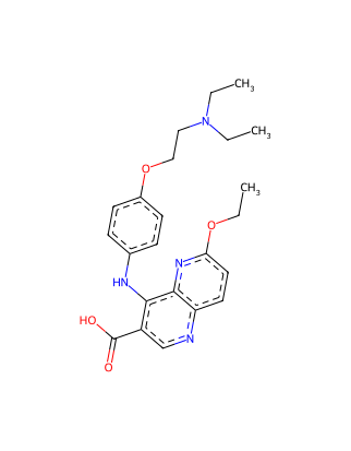 CCOc1ccc2ncc(C(=O)O)c(Nc3ccc(OCCN(CC)CC)cc3)c2n1